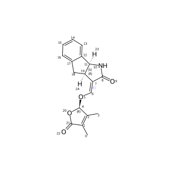 CC1=C(C)[C@H](O/C=C2/C(=O)N[C@@H]3c4ccccc4C[C@H]23)OC1=O